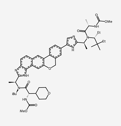 CC[C@H](C)N(C(=O)[C@@H](NC(=O)OC)C1CCOCC1)[C@@H](C)c1nc2ccc3cc4c(cc3c2[nH]1)OCc1cc(-c2cnc([C@H](C)N(C(=O)[C@H](C)NC(=O)OC)[C@H](CC)C(C)(C)CC)[nH]2)ccc1-4